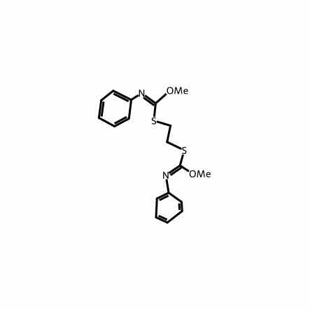 COC(=Nc1ccccc1)SCCSC(=Nc1ccccc1)OC